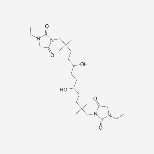 CCN1CC(=O)N(CC(C)(C)CCC(O)CCC(O)CCC(C)(C)CN2C(=O)CN(CC)C2=O)C1=O